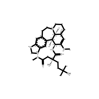 COC(=O)C[C@](O)(CCC(C)(C)O)C(=O)O[C@@H]1C(OC)=C[C@H]2CCCN3CCc4cc5c(cc4[C@H]1[C@H]23)OCO5